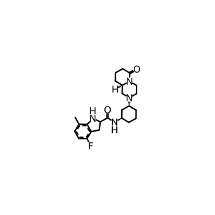 Cc1ccc(F)c2c1NC(C(=O)N[C@@H]1CCC[C@H](N3CCN4C(=O)CCC[C@H]4C3)C1)C2